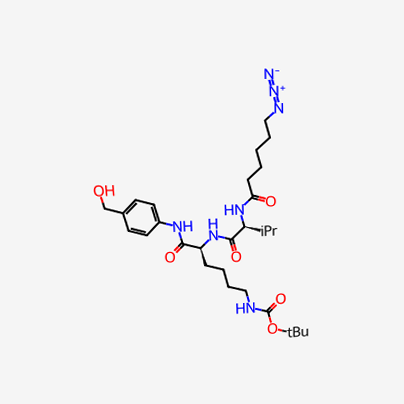 CC(C)[C@H](NC(=O)CCCCCN=[N+]=[N-])C(=O)N[C@@H](CCCCNC(=O)OC(C)(C)C)C(=O)Nc1ccc(CO)cc1